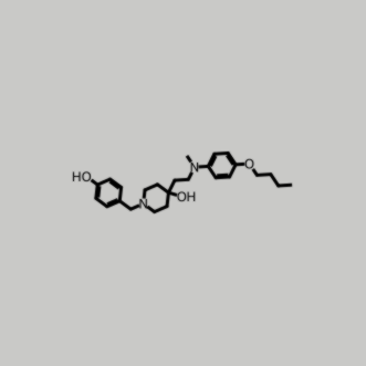 CCCCOc1ccc(N(C)CCC2(O)CCN(Cc3ccc(O)cc3)CC2)cc1